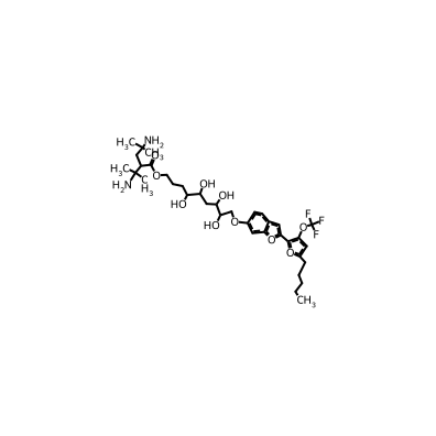 CCCCCc1cc(OC(F)(F)F)c(-c2cc3ccc(OCC(O)C(O)CC(O)C(O)CCCOC(=O)C(CC(C)(C)N)C(C)(C)N)cc3o2)o1